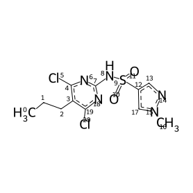 CCCc1c(Cl)nc(NS(=O)(=O)c2cnn(C)c2)nc1Cl